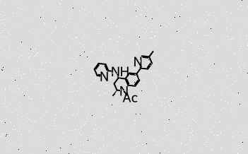 CC(=O)N1c2ccc(-c3ccc(C)cn3)cc2[C@H](Nc2ccccn2)C[C@@H]1C